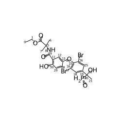 CCOC(=O)C(C)(C)NC(=O)c1cc(Oc2c(Br)cc(C(C)(O)[PH2]=O)cc2Br)ccc1O